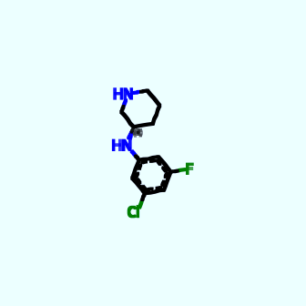 Fc1cc(Cl)cc(N[C@@H]2CCCNC2)c1